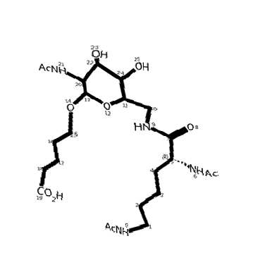 CC(=O)NCCCC[C@@H](NC(C)=O)C(=O)NCC1OC(OCCCCC(=O)O)C(NC(C)=O)C(O)C1O